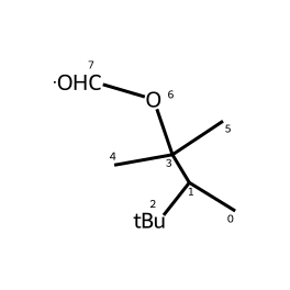 CC(C(C)(C)C)C(C)(C)O[C]=O